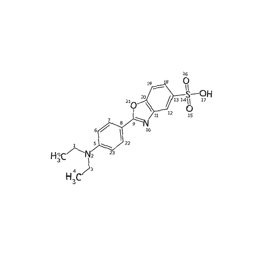 CCN(CC)c1ccc(-c2nc3cc(S(=O)(=O)O)ccc3o2)cc1